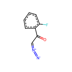 [N-]=[N+]=CC(=O)c1ccccc1F